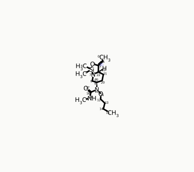 C/C=C1\O[Si](C)(C)N2C[C@H](N(OCCCC)C(=O)NC)CC[C@@H]12